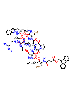 C=CC[C@H](CC(=O)[C@H](CS)NC(=O)CCC(=O)OCC1c2ccccc2-c2ccccc21)C(=O)N[C@@H](CO)C(=O)N[C@@H](CC(=O)O)C(=O)N1CCCC1C(=O)N[C@@H](CCCNC(=N)N)C(=O)N[C@@H](CS)C(=O)N[C@@H](C)C(=O)C[C@@H](Cc1cc2ccccc2[nH]1)C(=O)N[C@@H](CCCCC(=N)N)C(=O)N[C@@H](CC=C)C(N)=O